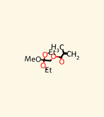 C=C(C)C(=O)OCC(OC)(OCC)OCC